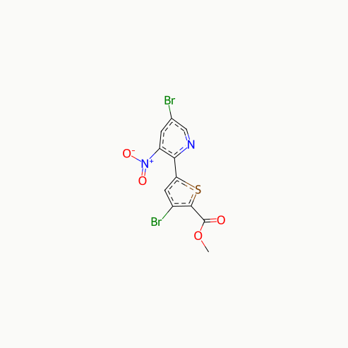 COC(=O)c1sc(-c2ncc(Br)cc2[N+](=O)[O-])cc1Br